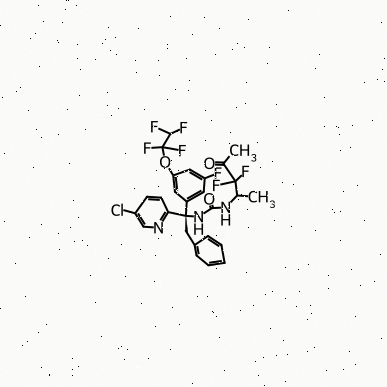 CC(=O)C(F)(F)C(C)NC(=O)N[C@@](Cc1ccccc1)(c1cc(F)cc(OC(F)(F)C(F)F)c1)c1ccc(Cl)cn1